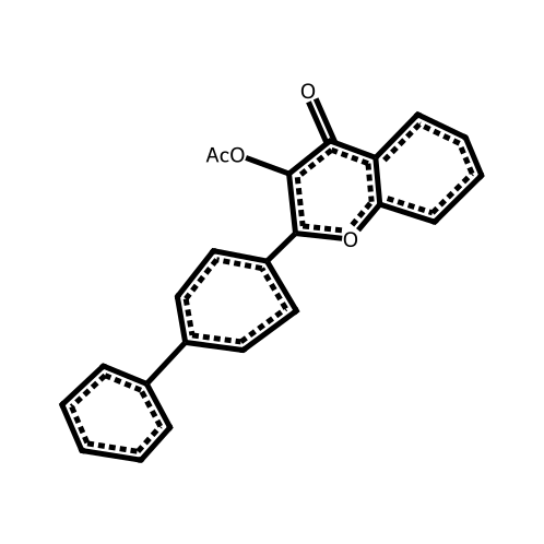 CC(=O)Oc1c(-c2ccc(-c3ccccc3)cc2)oc2ccccc2c1=O